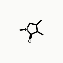 CC1CN(C)C(=O)C1C